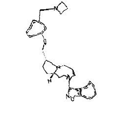 c1cc(CN2CCC2)cc(OC[C@H]2CC[C@H]3CN(c4noc5ccccc45)CCN3C2)c1